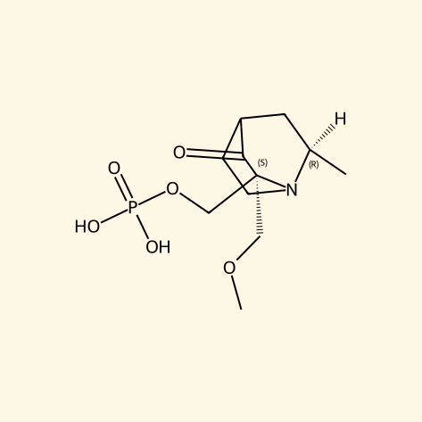 COC[C@]1(COP(=O)(O)O)C(=O)C2CCN1[C@H](C)C2